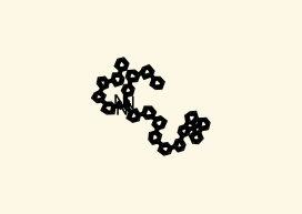 c1ccc(-c2cccc(-c3cccc(-c4ccc(-c5nc(-c6cccc(-c7cccc(-c8cccc(-c9cccc(-c%10ccccc%10)c9)c8)c7)c6)nc(-c6cccc(-c7cccc(-c8cccc(-c9cccc(-c%10cccc(-c%11cccc(-c%12ccc%13c(c%12)C%12(c%14ccccc%14-c%14ccccc%14%12)c%12ccccc%12-%13)c%11)c%10)c9)c8)c7)c6)n5)cc4)c3)c2)cc1